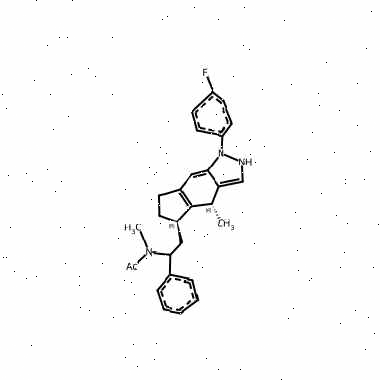 CC(=O)N(C)C(C[C@H]1CCC2=C1[C@@H](C)C1=CNN(c3ccc(F)cc3)C1=C2)c1ccccc1